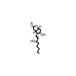 CCCCC[C@H](O)/C=C/[C@H]1[C@@H]2C[C@@H](OC)O[C@@H]2C[C@@H]1O